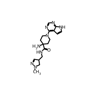 CN1CC(CNC(=O)C2(N)CCN(c3ncnc4[nH]ccc34)CC2)C=N1